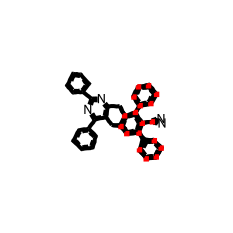 N#Cc1c(-c2ccccc2)cc2c(c1-c1ccccc1)C1c3nc(-c4ccccc4)nc(-c4ccccc4)c3C2c2cc(-c3ccccc3)c(C#N)c(-c3ccccc3)c21